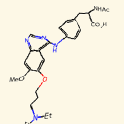 CCN(CC)CCCOc1cc2c(Nc3ccc(CC(NC(C)=O)C(=O)O)cc3)ncnc2cc1OC